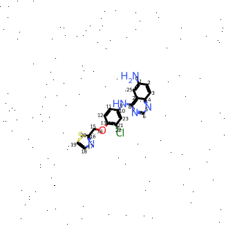 Nc1ccc2ncnc(Nc3ccc(OCc4nccs4)c(Cl)c3)c2c1